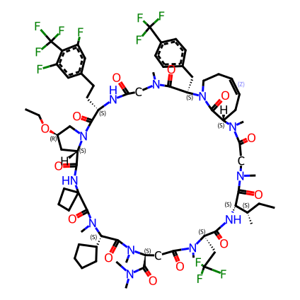 CCO[C@@H]1C[C@H]2C(=O)NC3(CCC3)C(=O)N(C)[C@@H](C3CCCC3)C(=O)N(C)[C@H](C(=O)N(C)C)CC(=O)N(C)[C@@H](CC(F)(F)F)C(=O)N[C@@H]([C@@H](C)CC)C(=O)N(C)CC(=O)N(C)[C@H]3C/C=C\CCN(C3=O)[C@@H](Cc3ccc(C(F)(F)F)cc3)C(=O)N(C)CC(=O)N[C@@H](CCc3cc(F)c(C(F)(F)F)c(F)c3)C(=O)N2C1